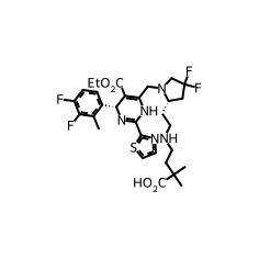 CCOC(=O)C1=C(CN2CC(F)(F)C[C@@H]2CCNCCC(C)(C)C(=O)O)NC(c2nccs2)=N[C@@H]1c1ccc(F)c(F)c1C